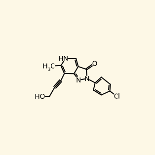 Cc1[nH]cc2c(=O)n(-c3ccc(Cl)cc3)nc-2c1C#CCO